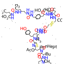 CCCCCCCOCN(C(=O)C(NC(=O)C1CCCCN1C)C(C)CC)[C@H](C[C@@H](OC(C)=O)c1nc(C(=O)N[C@@H](Cc2ccc(O)cc2)CC(C)C(=O)NNC(=O)OCCSSC[C@H](NC(=O)[C@H](CC(=O)O)NC(=O)C(CC(=O)O)NC(=O)Cc2ccc(CNC(=O)NCCCC[C@@H](C)NC(=O)N[C@@H](CCC(=O)O)C(=O)O)cc2)C(=O)O)cs1)C(C)C